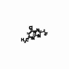 Cc1cc(Cl)n2nc(CF)nc2n1